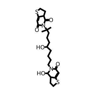 CC(C)(CCCC(O)CCCCN1C(=O)C=C2SCCC2C1O)N1C(=O)C=C2SCCC2C1=O